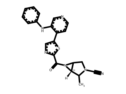 CC1[C@H]2C(CN1C#N)N2C(=O)c1ncc(-c2ccncc2Nc2ccccc2)s1